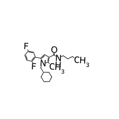 CCCCNC(=O)c1cc(-c2cc(F)ccc2F)n(CC2CCCCC2)c1C